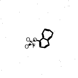 O=S(=O)(F)Oc1cccc2c1=CC=CCC=2